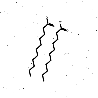 CCCCCCCCCCC(=O)[O-].CCCCCCCCCCC(=O)[O-].[Cd+2]